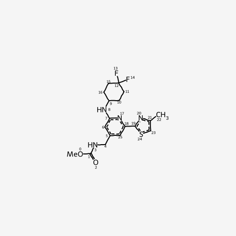 COC(=O)NCc1cc(NC2CCC(F)(F)CC2)nc(-c2nc(C)cs2)c1